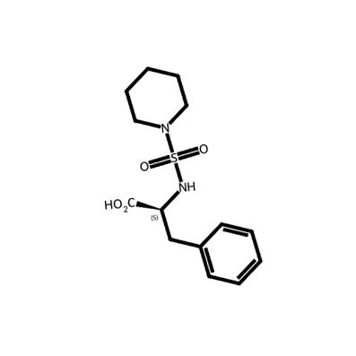 O=C(O)[C@H](Cc1ccccc1)NS(=O)(=O)N1CCCCC1